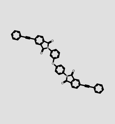 O=C1c2ccc(C#Cc3ccccc3)cc2C(=O)N1c1ccc(Oc2cccc(N3C(=O)c4ccc(C#Cc5ccccc5)cc4C3=O)c2)cc1